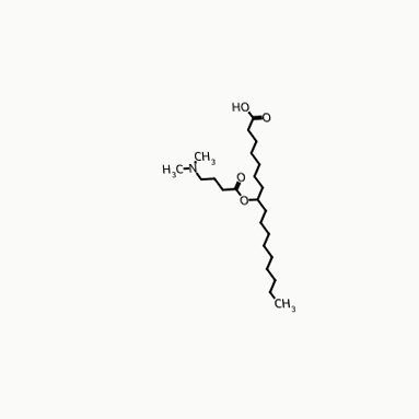 CCCCCCCCCC(CCCCCCC(=O)O)OC(=O)CCCN(C)C